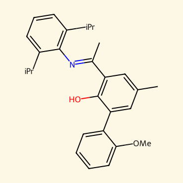 COc1ccccc1-c1cc(C)cc(C(C)=Nc2c(C(C)C)cccc2C(C)C)c1O